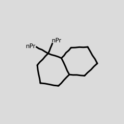 CCCC1(CCC)CCCC2CCCCC21